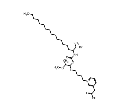 CCCCCCCCCCCCCCCC(CC)NC(=O)OC(OCCCC[n+]1cccc(CC(=O)O)c1)C(C)OC.[Br-]